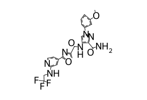 COc1cccc(-n2cc(NC(=O)c3coc(-c4ccnc(NCC(F)(F)F)c4)n3)c(C(N)=O)n2)c1